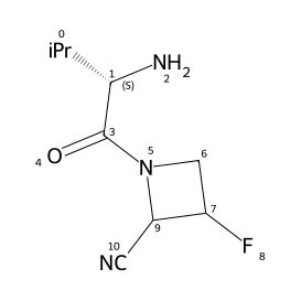 CC(C)[C@H](N)C(=O)N1CC(F)C1C#N